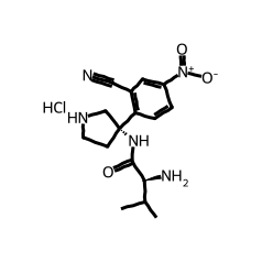 CC(C)[C@H](N)C(=O)N[C@]1(c2ccc([N+](=O)[O-])cc2C#N)CCNC1.Cl